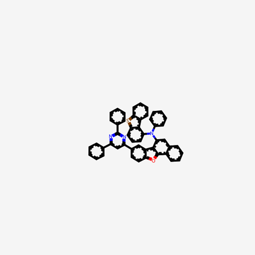 c1ccc(-c2cc(-c3ccc4oc5c6ccccc6cc(N(c6ccccc6)c6cccc7sc8ccccc8c67)c5c4c3)nc(-c3ccccc3)n2)cc1